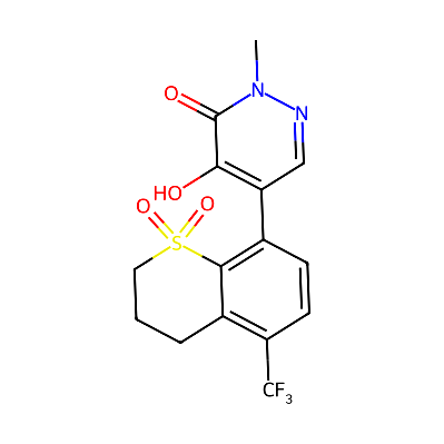 Cn1ncc(-c2ccc(C(F)(F)F)c3c2S(=O)(=O)CCC3)c(O)c1=O